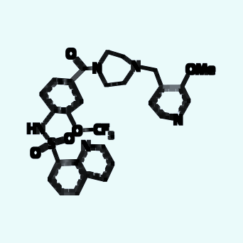 COc1cnccc1CN1CCN(C(=O)c2ccc(NS(=O)(=O)c3cccc4cccnc34)c(OC(F)(F)F)c2)CC1